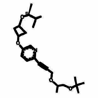 CC(COC(C)(C)C)OCC#Cc1ccc(OC2CC(O[C@@H](C)C(C)C)C2)cn1